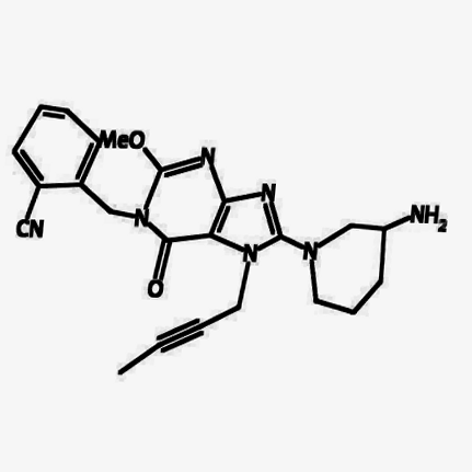 CC#CCn1c(N2CCCC(N)C2)nc2nc(OC)n(Cc3ccccc3C#N)c(=O)c21